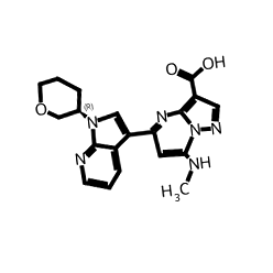 CNc1cc(-c2cn([C@@H]3CCCOC3)c3ncccc23)nc2c(C(=O)O)cnn12